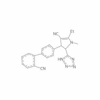 CCC1=C(C#N)C(c2ccc(-c3ccccc3C#N)cc2)C(c2nnn[nH]2)N1C